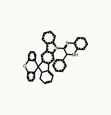 C1=CCC2C(=C1)c1cc3c(cc1C21c2ccccc2Oc2ccccc21)c1ccccc1n3C1=Nc2ccccc2NC1c1ccccc1